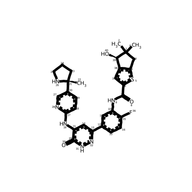 CC1(C)Cc2sc(C(=O)Nc3cc(-c4cc(Nc5ccc([C@@]6(C)CCCN6)cn5)c(=O)[nH]n4)ccc3F)cc2[C@H]1O